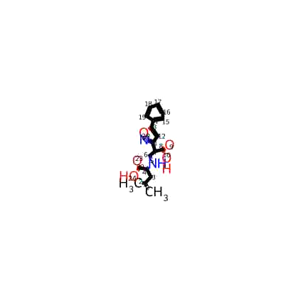 CC(C)CC(NCC(C(=O)O)c1cc(-c2ccccc2)on1)C(=O)O